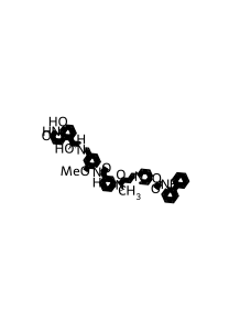 COc1cc(CNC[C@H](O)c2ccc(O)c3[nH]c(=O)ccc23)ccc1NC(=O)c1cccc(N(C)C(=O)CCN2CCC(OC(=O)Nc3ccccc3-c3ccccc3)CC2)c1